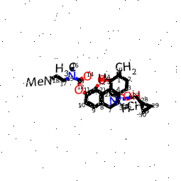 C=C1CC[C@@]2(O)[C@H]3Cc4ccc(OC(=O)N(C)CCNC)c5c4[C@@]2(CC[N@@+]3(C)CC2CC2)[C@H]1O5